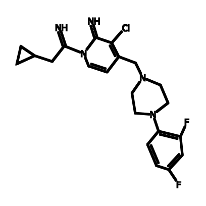 N=C(CC1CC1)n1ccc(CN2CCN(c3ccc(F)cc3F)CC2)c(Cl)c1=N